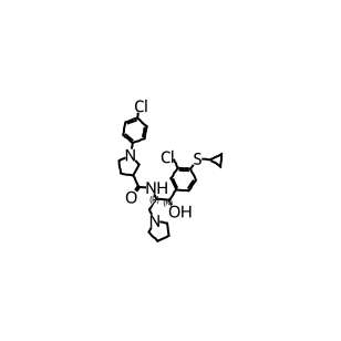 O=C(N[C@H](CN1CCCC1)[C@H](O)c1ccc(SC2CC2)c(Cl)c1)C1CCN(c2ccc(Cl)cc2)C1